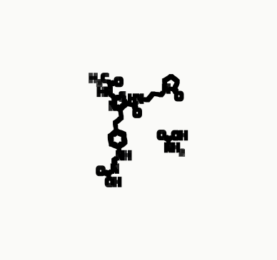 CC(=O)Nc1nc(CCc2ccc(NC=NC(=O)O)cc2)c(C(=O)NCCCN2CCCC2=O)s1.NC(=O)O